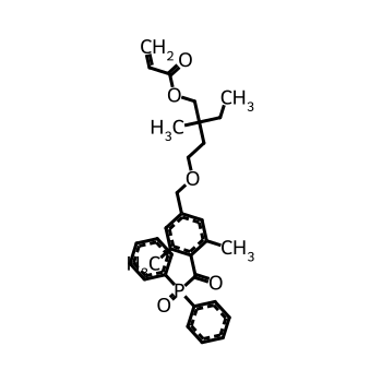 C=CC(=O)OCC(C)(CC)CCOCc1cc(C)c(C(=O)P(=O)(c2ccccc2)c2ccccc2)c(C)c1